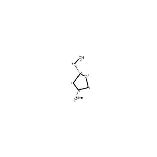 CO[C@H]1CO[C@@H](CO)C1